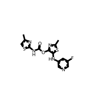 Cc1csc(NC(=O)Oc2nc(C)sc2Nc2cncc(F)c2)n1